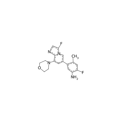 Cc1cc(F)c(N)cc1-c1cc(N2CCOCC2)c2ncc(F)n2c1